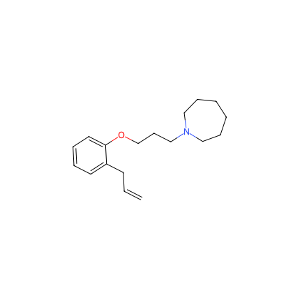 C=CCc1ccccc1OCCCN1CCCCCC1